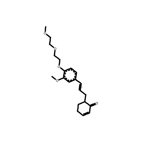 COCCOCCOc1ccc(/C=C/CC2CCC=CC2=O)cc1OC